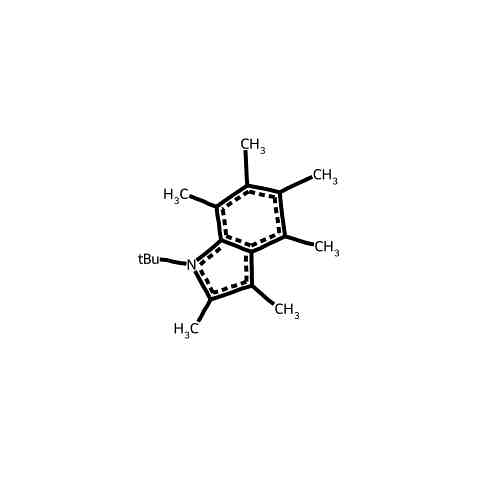 Cc1c(C)c(C)c2c(c1C)c(C)c(C)n2C(C)(C)C